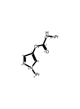 CCCNC(=O)Oc1cnn(C(C)C)c1